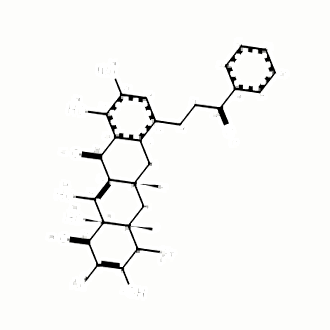 CC(=O)C1=C(O)C(C(C)C)[C@@]2(C)C[C@@]3(C)Cc4c(CCC(=O)c5ccccc5)cc(C(C)(C)C)c(O)c4C(=O)C3=C(O)[C@@]2(O)C1=O